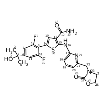 CC(C)(O)c1cc(F)c(-c2cc(C(N)=O)c(Nc3cccc(CN4CCOC4=O)n3)s2)c(F)c1